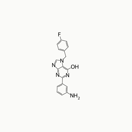 Nc1cccc(-c2nc(O)c3c(ncn3Cc3ccc(F)cc3)n2)c1